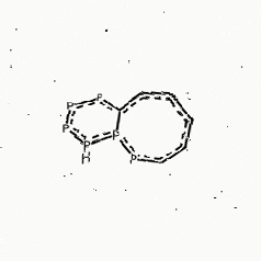 c1ccpp2[pH]pppc-2cc1